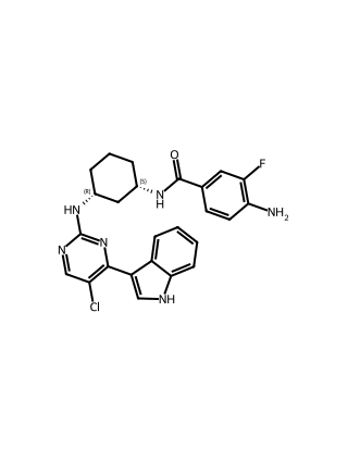 Nc1ccc(C(=O)N[C@H]2CCC[C@@H](Nc3ncc(Cl)c(-c4c[nH]c5ccccc45)n3)C2)cc1F